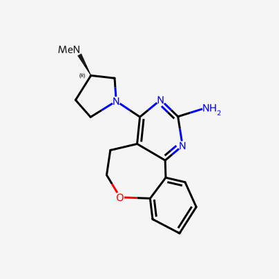 CN[C@@H]1CCN(c2nc(N)nc3c2CCOc2ccccc2-3)C1